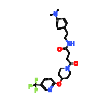 CN(C)c1ccc(CCNC(=O)CCC(=O)N2CCC(Oc3ccc(C(F)(F)F)cn3)CC2)cc1